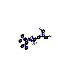 C/C(=C\C=C(/C)n1c2ccc(N(c3ccccc3)c3ccccc3)cc2c2cc(N(c3ccccc3)c3ccccc3)ccc21)c1c(C#N)cc(-c2ccc(-c3cc(-c4cccc(C#N)c4)nc(-c4cccc(C#N)c4)n3)cc2)cc1C#N